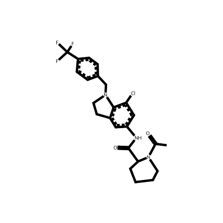 CC(=O)N1CCCCC1C(=O)Nc1cc(Cl)c2c(c1)CCN2Cc1ccc(C(F)(F)F)cc1